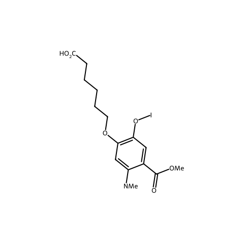 CNc1cc(OCCCCCC(=O)O)c(OI)cc1C(=O)OC